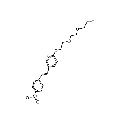 O=[N+]([O-])c1ccc(/C=C/c2ccc(OCCOCCOCCO)nc2)cc1